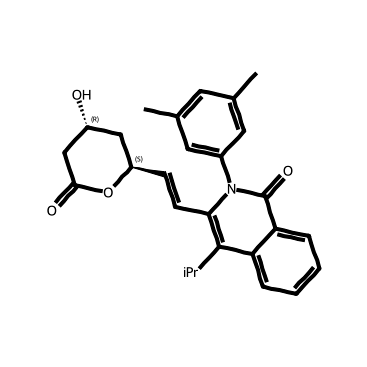 Cc1cc(C)cc(-n2c(C=C[C@@H]3C[C@@H](O)CC(=O)O3)c(C(C)C)c3ccccc3c2=O)c1